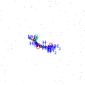 C[C@H](N)CCCc1cc(OC(F)(F)F)c(F)c(-c2cc3cn(-c4ccc([C@H](C)NCC[C@H](CNC(=O)CN)NC(=N)N)cc4)c(=O)nc3[nH]2)c1